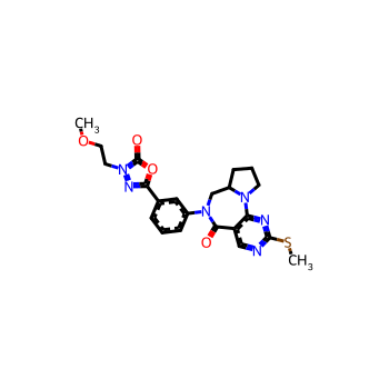 COCCn1nc(-c2cccc(N3CC4CCCN4c4nc(SC)ncc4C3=O)c2)oc1=O